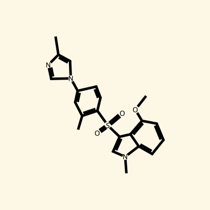 COc1cccc2c1c(S(=O)(=O)c1ccc(-n3cnc(C)c3)cc1C)cn2C